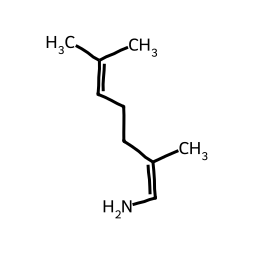 CC(C)=CCC/C(C)=C\N